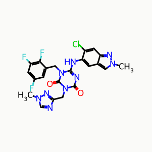 Cn1cnc(Cn2c(=O)nc(Nc3cc4cn(C)nc4cc3Cl)n(Cc3cc(F)cc(F)c3F)c2=O)n1